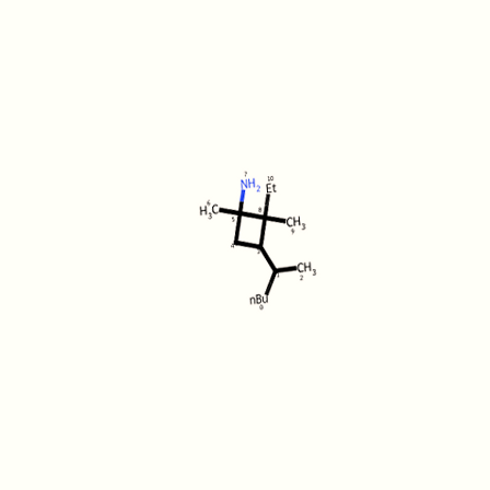 CCCCC(C)C1CC(C)(N)C1(C)CC